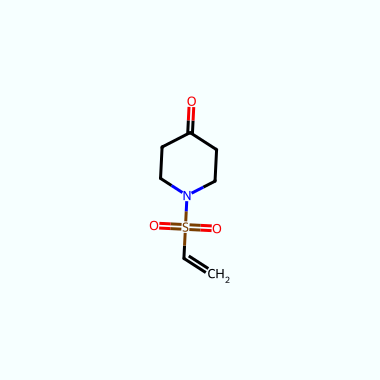 C=CS(=O)(=O)N1CCC(=O)CC1